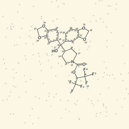 O=C(OC(C(F)(F)F)C(F)(F)F)N1CCC(C(O)(c2ccc3c(c2)OCO3)c2ccc3c(c2)OCO3)CC1